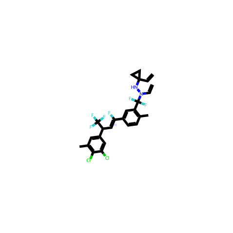 C=CN(NC1(C=C)CC1)C(F)(F)c1cc(/C(F)=C/C(c2cc(C)c(Cl)c(Cl)c2)C(F)(F)F)ccc1C